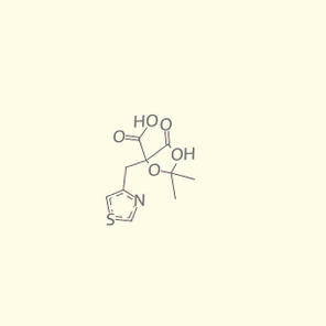 CC(C)(C)OC(Cc1cscn1)(C(=O)O)C(=O)O